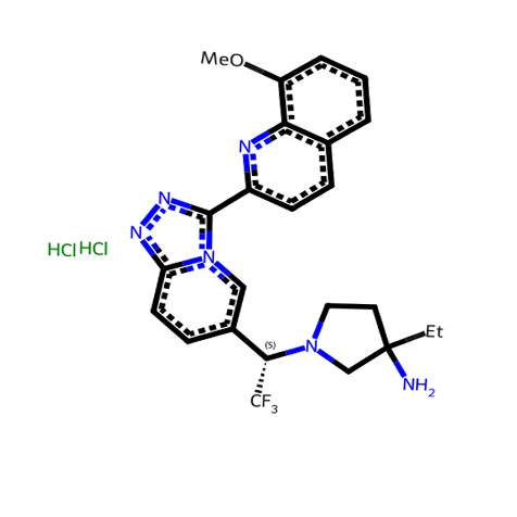 CCC1(N)CCN([C@@H](c2ccc3nnc(-c4ccc5cccc(OC)c5n4)n3c2)C(F)(F)F)C1.Cl.Cl